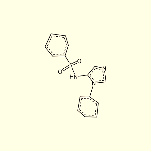 O=S(=O)(Nc1cncn1-c1ccccc1)c1ccccc1